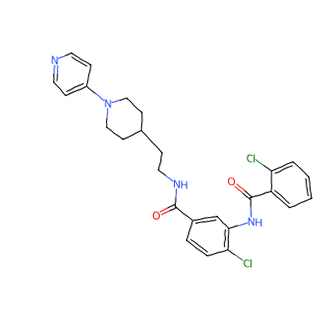 O=C(NCCC1CCN(c2ccncc2)CC1)c1ccc(Cl)c(NC(=O)c2ccccc2Cl)c1